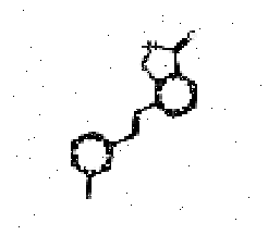 O=C1NCc2c(C=Cc3cccc(F)c3)cccc21